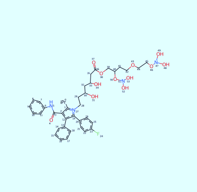 CC(C)c1c(C(=O)Nc2ccccc2)c(-c2ccccc2)c(-c2ccc(F)cc2)n1CCC(O)CC(O)CC(=O)OCC(CCOCCON(O)O)ON(O)O